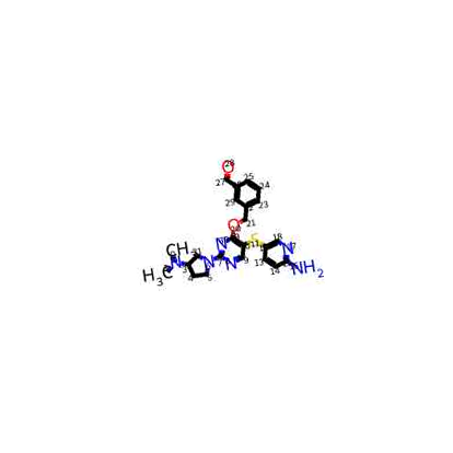 CN(C)C1CCN(c2ncc(Sc3ccc(N)nc3)c(OCc3cccc(C=O)c3)n2)C1